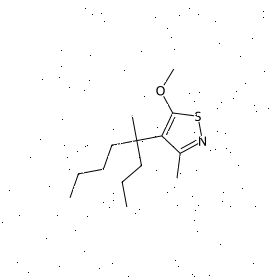 CCCCC(C)(CCC)c1c(C)nsc1OC